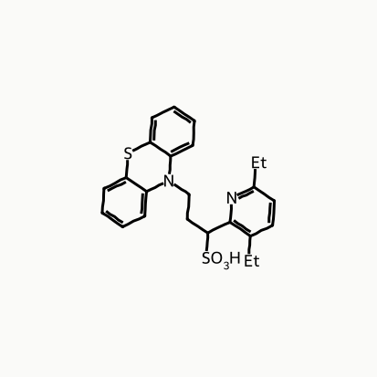 CCc1ccc(CC)c(C(CCN2c3ccccc3Sc3ccccc32)S(=O)(=O)O)n1